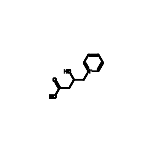 O=C(O)CC(O)C[n+]1ccccc1